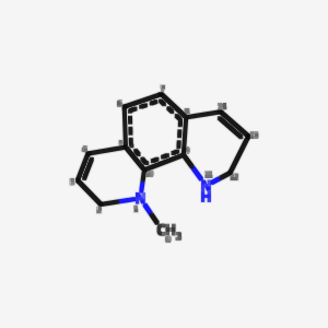 CN1CC=Cc2ccc3c(c21)NCC=C3